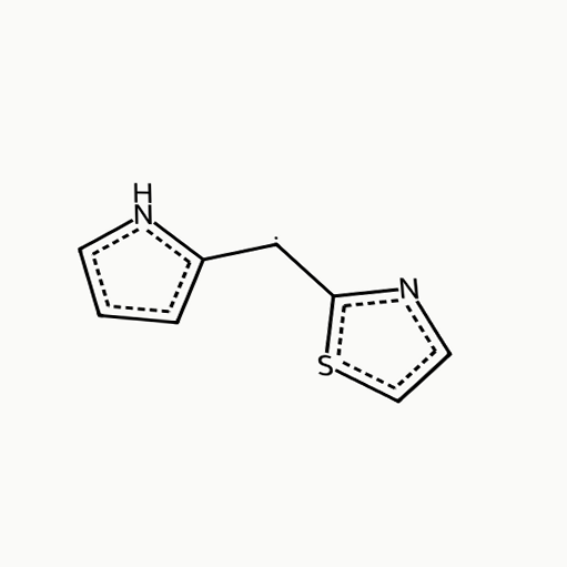 [CH](c1ccc[nH]1)c1nccs1